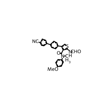 COc1ccc(N(C)C(=O)c2c(-c3ccc(-c4ccc(C#N)cc4)cc3)csc2NC=O)cc1